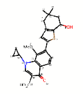 COc1c(-c2cc3c(s2)C(O)CC(C)(C)C3)ccc2c(=O)c(C(=O)O)cn(C3CC3)c12